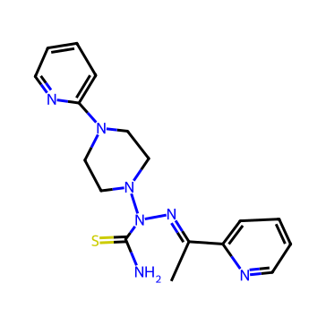 CC(=NN(C(N)=S)N1CCN(c2ccccn2)CC1)c1ccccn1